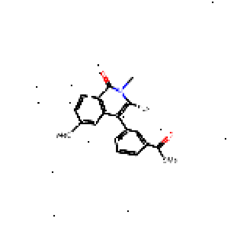 COC(=O)c1cccc(-c2c(C#N)n(C)c(=O)c3ccc(OC)cc23)c1